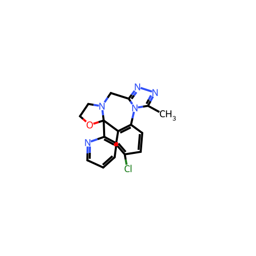 Cc1nnc2n1-c1ccc(Cl)cc1C1(c3ccccn3)OCCN1C2